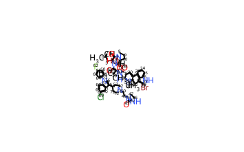 CC(C)C[C@H]1C(=O)N2CCC[C@H]2[C@]2(O)O[C@](NC(=O)[C@@H]3C=C4c5cccc6[nH]c(Br)c(c56)C[C@H]4N(C)C3)(C(C)C)C(=O)N12.O=C1NCCN1CCN1CCC(c2cn(-c3ccc(F)cc3)c3ccc(Cl)cc23)CC1